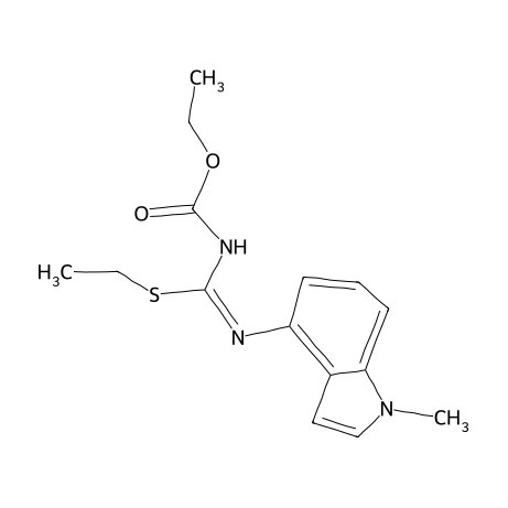 CCOC(=O)N/C(=N\c1cccc2c1ccn2C)SCC